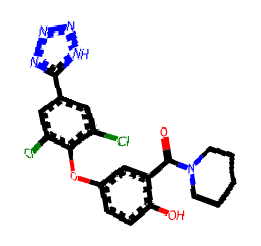 O=C(c1cc(Oc2c(Cl)cc(-c3nnn[nH]3)cc2Cl)ccc1O)N1CCCCC1